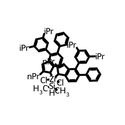 CCCC1=Cc2c(ccc(-c3ccccc3)c2-c2cc(C(C)C)cc(C(C)C)c2)[CH]1[Zr]([Cl])([Cl])([CH]1C(CCC)=Cc2c1ccc(-c1ccccc1)c2-c1cc(C(C)C)cc(C(C)C)c1)[SiH](C)C